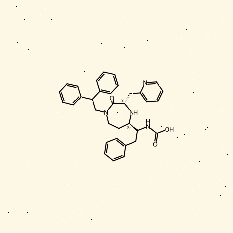 O=C(O)NC(Cc1ccccc1)[C@H]1CCN(CC(c2ccccc2)c2ccccc2)C(=O)[C@H](Cc2ccccn2)N1